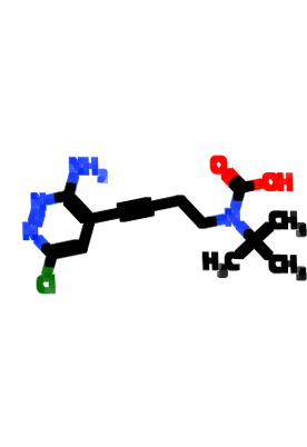 CC(C)(C)N(CCC#Cc1cc(Cl)nnc1N)C(=O)O